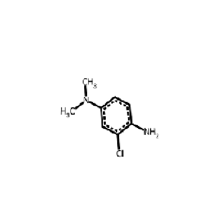 CN(C)c1ccc(N)c(Cl)c1